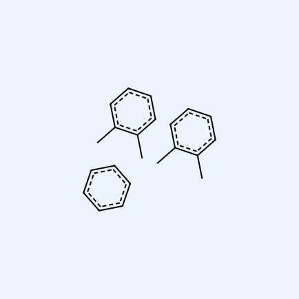 Cc1ccccc1C.Cc1ccccc1C.c1ccccc1